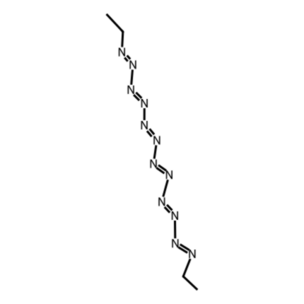 CCN=NN=NN=NN=NN=NN=NCC